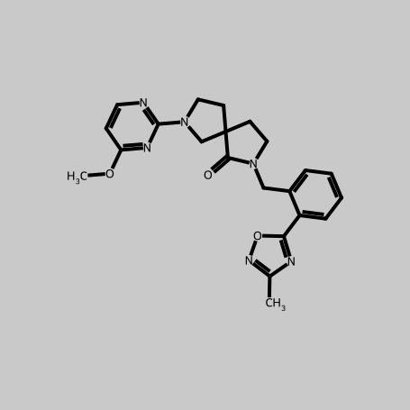 COc1ccnc(N2CCC3(CCN(Cc4ccccc4-c4nc(C)no4)C3=O)C2)n1